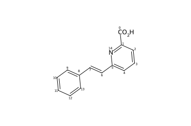 O=C(O)c1cccc(/C=C/c2ccccc2)n1